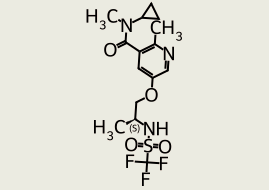 Cc1ncc(OC[C@H](C)NS(=O)(=O)C(F)(F)F)cc1C(=O)N(C)C1CC1